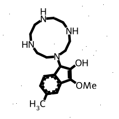 COC1=C(O)C(N2CCNCCNCCNCC2)c2ccc(C)cc21